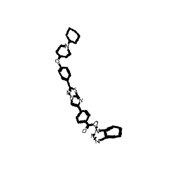 O=C(On1nnc2ccccc21)c1ccc(-c2cn3nc(-c4ccc(OC5CCN(C6CCCCC6)CC5)cc4)sc3n2)cc1